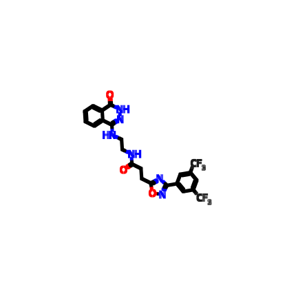 O=C(CCc1nc(-c2cc(C(F)(F)F)cc(C(F)(F)F)c2)no1)NCCNc1n[nH]c(=O)c2ccccc12